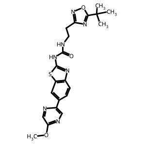 COc1cnc(-c2ccc3nc(NC(=O)NCCc4noc(C(C)(C)C)n4)sc3c2)cn1